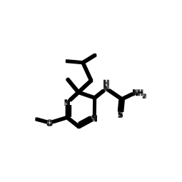 COC1=NC(C)(CC(C)C)C(NC(N)=S)N=C1